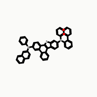 c1ccc(-c2ccccc2N(c2ccccc2)c2ccc3c(c2)sc2c4ccc(N(c5ccccc5)c5ccc6ccccc6c5)cc4c4ccccc4c32)cc1